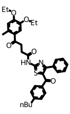 CCCCc1ccc(C(=O)c2sc(NC(=O)CCC(=O)c3cc(OCC)c(OCC)cc3C)nc2-c2ccccc2)cc1